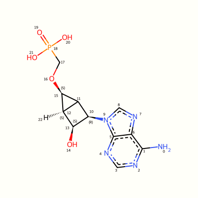 Nc1ncnc2c1ncn2[C@@H]1C2[C@@H]([C@@H]1O)[C@H]2OCP(=O)(O)O